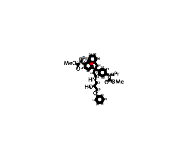 CCCN(C(=O)OC)c1ccc(C(CCNC[C@H](O)COc2ccccc2)(Cc2ccccc2)c2ccc(N(CCC)C(=O)OC)cc2)cc1